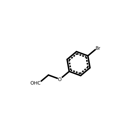 O=CCOc1ccc(Br)cc1